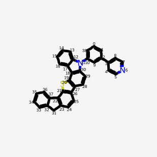 c1cc(-c2ccncc2)cc(-n2c3ccccc3c3c4sc5c6c(ccc5c4ccc32)Cc2ccccc2-6)c1